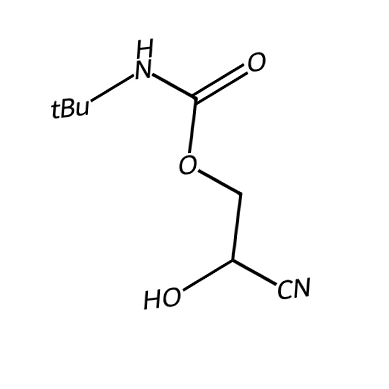 CC(C)(C)NC(=O)OCC(O)C#N